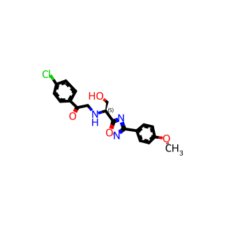 COc1ccc(-c2noc([C@H](CO)NCC(=O)c3ccc(Cl)cc3)n2)cc1